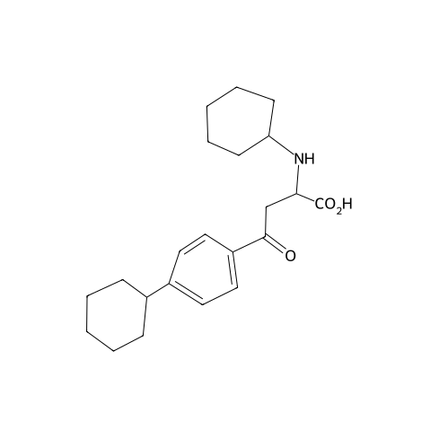 O=C(CC(NC1CCCCC1)C(=O)O)c1ccc(C2CCCCC2)cc1